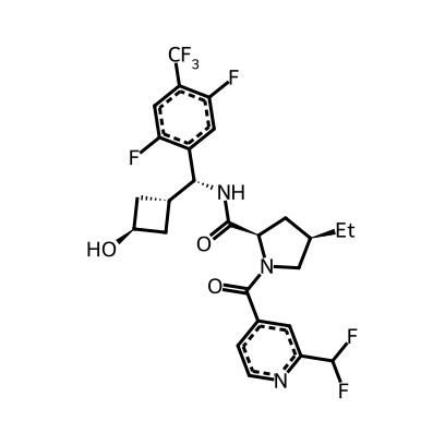 CC[C@@H]1C[C@H](C(=O)N[C@@H](c2cc(F)c(C(F)(F)F)cc2F)[C@H]2C[C@H](O)C2)N(C(=O)c2ccnc(C(F)F)c2)C1